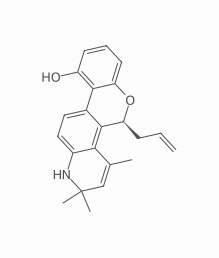 C=CC[C@@H]1Oc2cccc(O)c2-c2ccc3c(c21)C(C)=CC(C)(C)N3